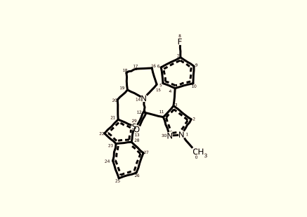 Cn1cc(-c2ccc(F)cc2)c(C(=O)N2CCCCC2Cc2cc3ccccc3s2)n1